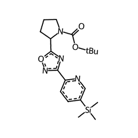 CC(C)(C)OC(=O)N1CCCC1c1nc(-c2ccc([Si](C)(C)C)cn2)no1